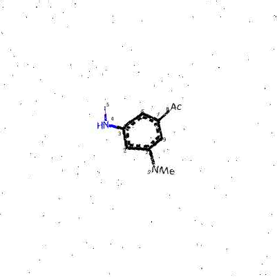 CNc1cc(NI)cc(C(C)=O)c1